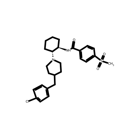 CS(=O)(=O)c1ccc(C(=O)N[C@@H]2CCCC[C@H]2N2CCC(Cc3ccc(Cl)cc3)CC2)cc1